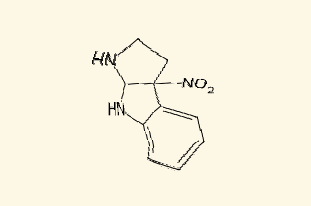 O=[N+]([O-])C12CCNC1Nc1ccccc12